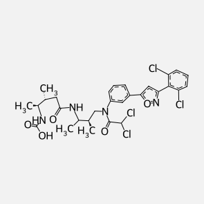 CC(NC(=O)C[C@@H](C)[C@H](C)NC(=O)O)[C@H](C)CN(C(=O)C(Cl)Cl)c1cccc(-c2cc(-c3c(Cl)cccc3Cl)no2)c1